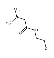 CN(C)CC(=O)NCC[O]